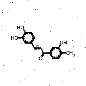 Cc1ccc(C(=O)/C=C/c2ccc(O)c(O)c2)cc1O